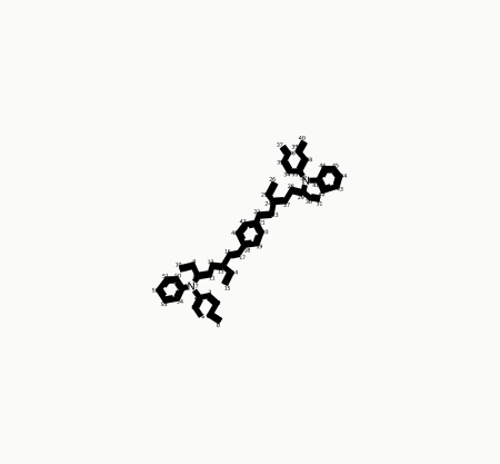 C=C/C=C\C(=C/C)N(/C(C=C)=C/C=C(\C=C)C=Cc1ccc(C=C/C(C=C)=C/C=C(\C=C)N(C(/C=C\C=C)=C/C=C)c2ccccc2)cc1)c1ccccc1